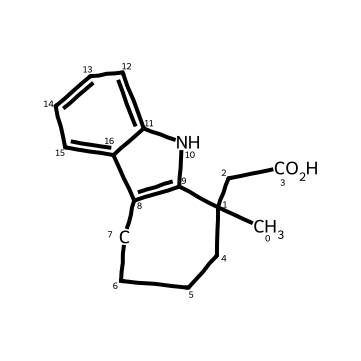 CC1(CC(=O)O)CCCCc2c1[nH]c1ccccc21